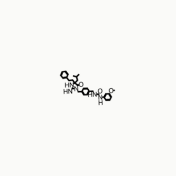 COc1cccc(NC(=O)NCc2ccc(CN3C(=N)NC(CCc4ccccc4)(CC(C)C)C3=O)cc2)c1